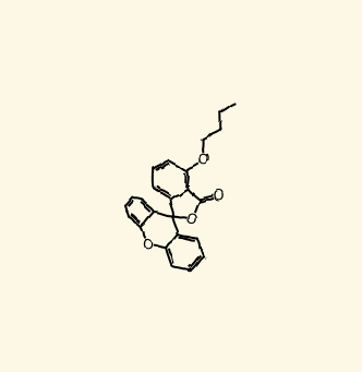 CCCCOc1cccc2c1C(=O)OC21c2ccccc2Oc2ccccc21